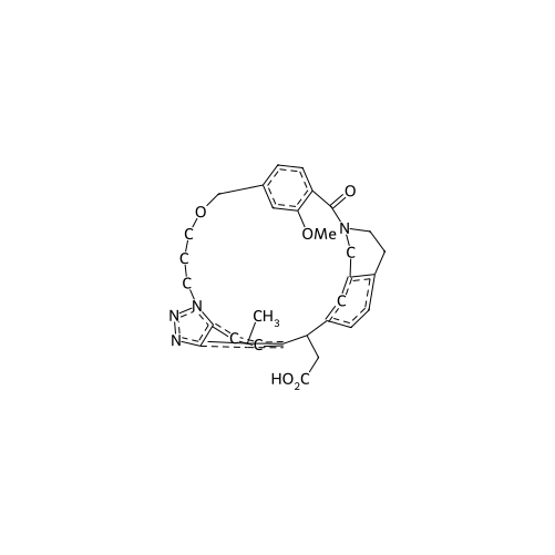 COc1cc2ccc1C(=O)N1CCc3ccc(cc3C1)C(CC(=O)O)c1ccc3c(nnn3CCCOC2)c1C